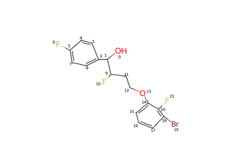 OC(c1ccc(F)cc1)C(F)CCOc1cccc(Br)c1F